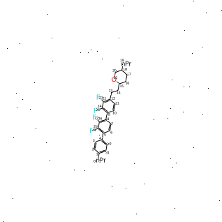 CCCc1ccc(-c2ccc(-c3ccc(CCC4CCC(CCC)CO4)c(F)c3F)c(F)c2F)cc1